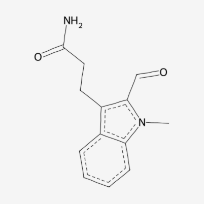 Cn1c(C=O)c(CCC(N)=O)c2ccccc21